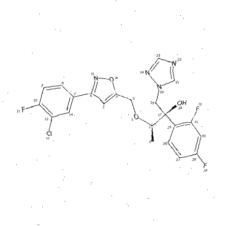 C[C@@H](OCc1cc(-c2ccc(F)c(Cl)c2)no1)[C@](O)(Cn1cncn1)c1ccc(F)cc1F